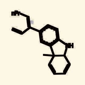 C=C/C(=C\CCC)c1ccc2c(c1)C1(C)C=CC=CC1N2